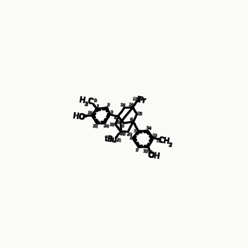 Cc1cc(C23CC4(c5ccc(O)c(C)c5)CC(C(C)C)(C2)CC(C(C)(C)C)(C3)C4)ccc1O